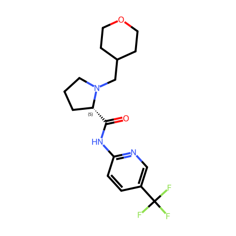 O=C(Nc1ccc(C(F)(F)F)cn1)[C@@H]1CCCN1CC1CCOCC1